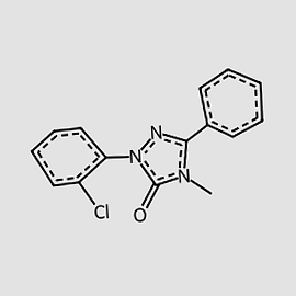 Cn1c(-c2ccccc2)nn(-c2ccccc2Cl)c1=O